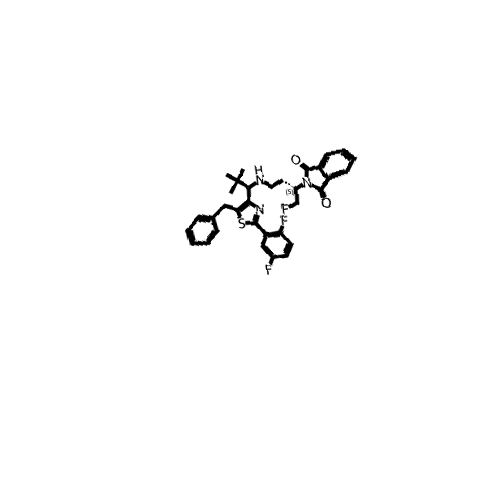 CC(C)(C)C(NCC[C@@H](CF)N1C(=O)c2ccccc2C1=O)c1nc(-c2cc(F)ccc2F)sc1Cc1ccccc1